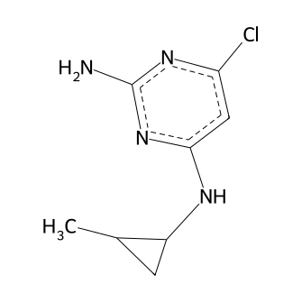 CC1CC1Nc1cc(Cl)nc(N)n1